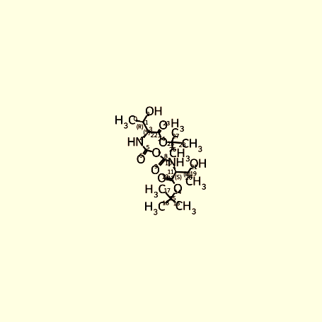 C[C@@H](O)[C@H](NC(=O)OC(=O)N[C@H](C(=O)OC(C)(C)C)[C@@H](C)O)C(=O)OC(C)(C)C